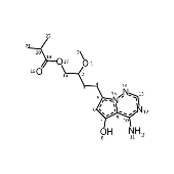 COC(CCc1cc(O)c2c(N)ncnn12)COC(=O)C(C)C